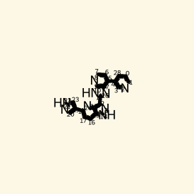 c1cncc(-c2ccnc3[nH]c(-c4n[nH]c5ccc(-c6cn[nH]c6)nc45)nc23)c1